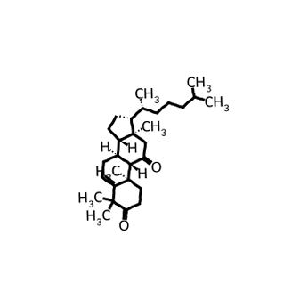 CC(C)CCC[C@@H](C)[C@H]1CC[C@H]2[C@@H]3CC=C4C(C)(C)C(=O)CC[C@]4(C)[C@H]3C(=O)C[C@]12C